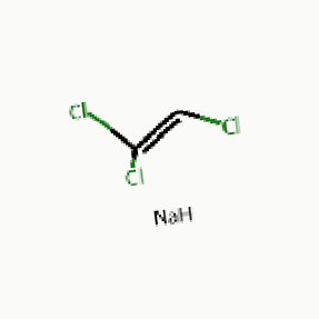 ClC=C(Cl)Cl.[NaH]